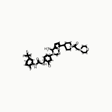 NC1c2ccc(C3CCN(C(=O)CN4CCOCC4)CC3)n2N=CN1c1ccc(NC(=O)Nc2cc(C(F)(F)F)ccc2F)c(Cl)c1